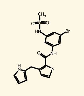 CS(=O)(=O)Nc1cc(Br)cc(NC(=O)c2sccc2Cc2ccc[nH]2)c1